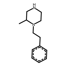 CC1CNCCN1CCc1ccccc1